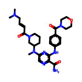 CN(C)CC=CC(=O)N1CCCC(N(C)c2cnc(C(N)=O)c(Nc3ccc(C(=O)N4CCOCC4)cc3)n2)C1